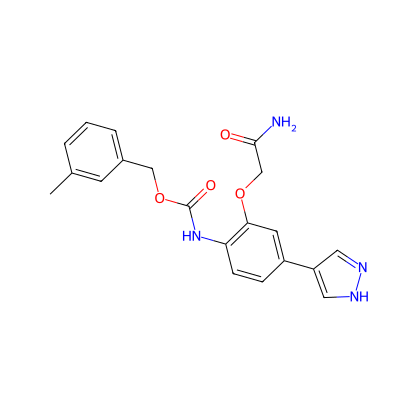 Cc1cccc(COC(=O)Nc2ccc(-c3cn[nH]c3)cc2OCC(N)=O)c1